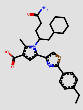 CCc1ccc(-c2nc(-c3cc(C(=O)O)c(C)n3C(CCC(N)=O)CC3CCCCC3)cs2)cc1